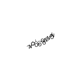 CCN(CC)c1ccc2c(c1)OC(=O)C(CCOC(=O)N1CCN(c3cc(C)no3)CC1)C2C